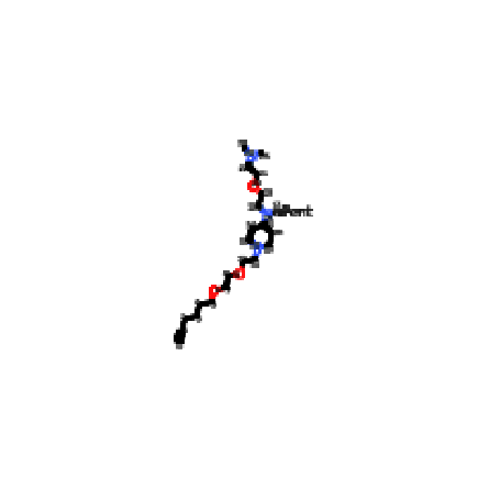 C#CCCCCOCCOCCN1CCC(N(CCCCC)CCOCCN(C)C)CC1